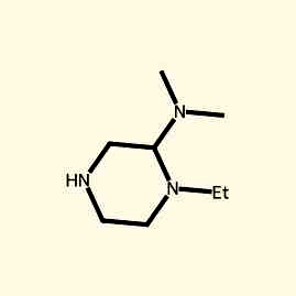 CCN1CCNCC1N(C)C